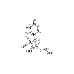 C#C[C@@]1(F)[C@H](O)[C@@H](COC(C)C)O[C@H]1N1C=CC(C)NC1=O